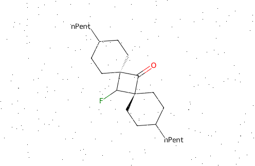 CCCCCC1CC[C@]2(CC1)C(=O)[C@@]1(CCC(CCCCC)CC1)C2F